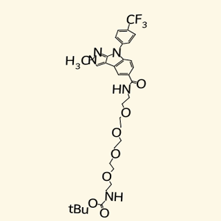 Cn1cc2c3cc(C(=O)NCCOCCOCCOCCOCCNC(=O)OC(C)(C)C)ccc3n(-c3ccc(C(F)(F)F)cc3)c2n1